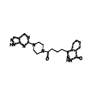 O=C(CCCc1n[nH]c(=O)c2ccccc12)N1CCN(c2ncc3cn[nH]c3n2)CC1